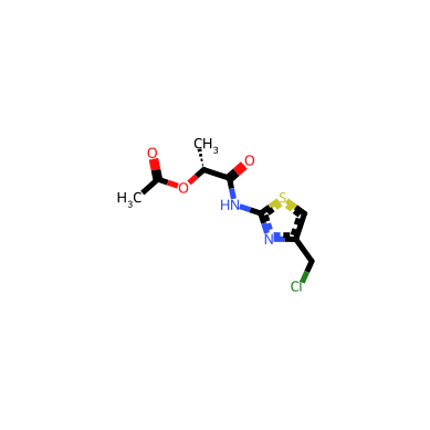 CC(=O)O[C@H](C)C(=O)Nc1nc(CCl)cs1